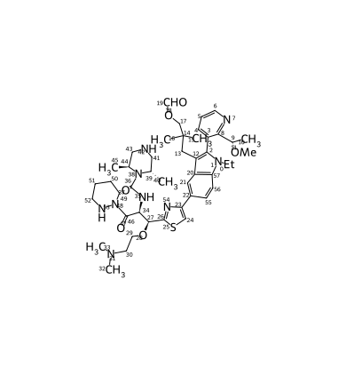 CCn1c(-c2cccnc2[C@H](C)OC)c(CC(C)(C)COC=O)c2cc(-c3csc([C@@H](OCCN(C)C)[C@H](NC(=O)N4[C@@H](C)CNC[C@@H]4C)C(=O)N4CCCCN4)n3)ccc21